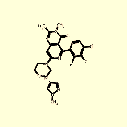 Cc1nc2cc(N3CCO[C@@H](c4cnn(C)c4)C3)nc(-c3ccc(Cl)c(F)c3F)c2c(=O)n1C